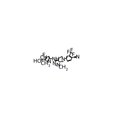 C=N/C=N\C(Nc1cc(F)c(C(C)(C)O)cn1)=C1CCN(c2ccc(C#N)c(C(F)(F)F)c2)CC1